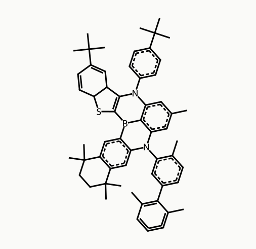 CC1=C=C=CC(C)=C1c1ccc(C)c(N2c3cc4c(cc3B3C5=C(C6C=C(C(C)(C)C)C=CC6S5)N(c5ccc(C(C)(C)C)cc5)c5cc(C)cc2c53)C(C)(C)CCC4(C)C)c1